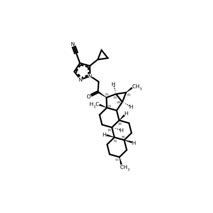 C[C@H]1CC[C@H]2[C@H](CC[C@H]3C4[C@@H]5[C@H](C)[C@@H]5[C@H](C(=O)Cn5ncc(C#N)c5C5CC5)[C@@]4(C)CC[C@H]23)C1